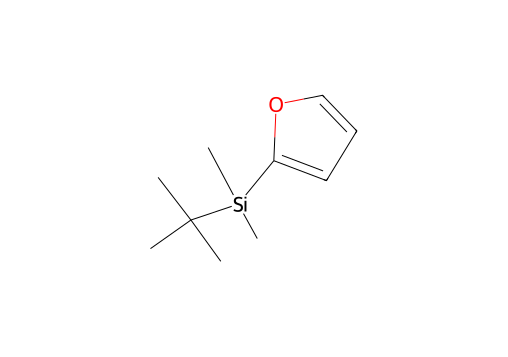 CC(C)(C)[Si](C)(C)c1ccco1